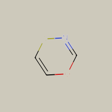 C1=CSN=CO1